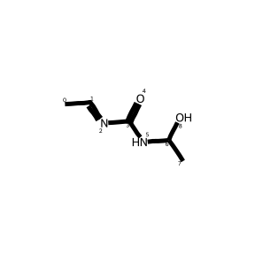 CC=NC(=O)NC(C)O